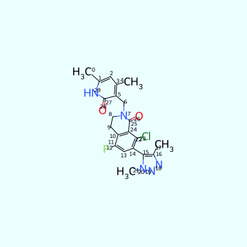 Cc1cc(C)c(CN2CCc3c(F)cc(-c4c(C)nnn4C)c(Cl)c3C2=O)c(=O)[nH]1